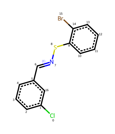 Clc1cccc(/C=N/Sc2ccccc2Br)c1